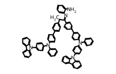 C=C(/C(=N\c1ccccc1N)c1ccc(-c2ccc(N(c3ccccc3)c3ccc(-n4c5ccccc5c5ccccc54)cc3)cc2)cc1)c1ccc(-c2ccc(N(c3ccccc3)c3ccc(-n4c5ccccc5c5ccccc54)cc3)cc2)cc1